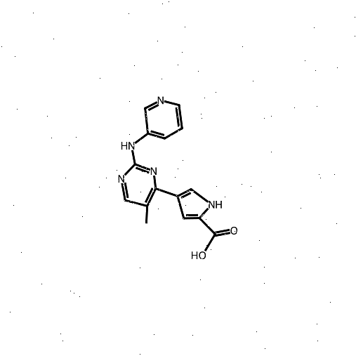 Cc1cnc(Nc2cccnc2)nc1-c1c[nH]c(C(=O)O)c1